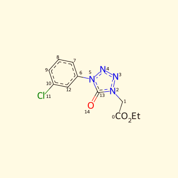 CCOC(=O)Cn1nnn(-c2cccc(Cl)c2)c1=O